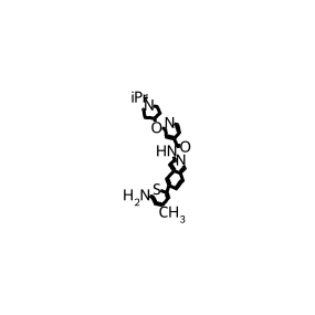 CC1=C=C(N)SC(c2ccc3cnc(NC(=O)c4ccnc(OC5CCN(C(C)C)CC5)c4)cc3c2)=C1